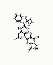 CC(C)CC(NC(=O)OC1(Cc2ccccc2)CCC1)C(=O)NC(CC1CCNC1=O)C(=O)CO